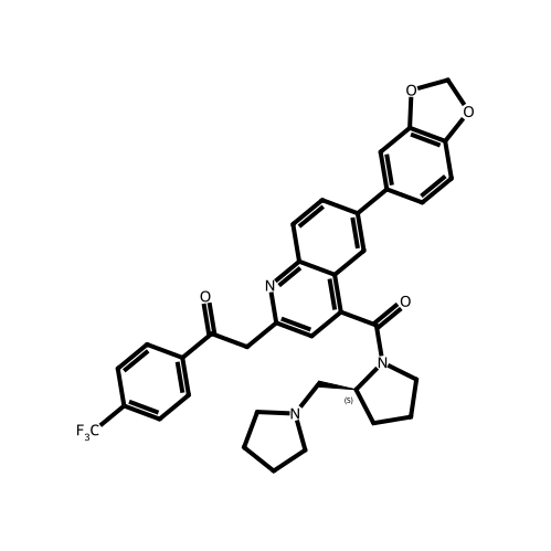 O=C(Cc1cc(C(=O)N2CCC[C@H]2CN2CCCC2)c2cc(-c3ccc4c(c3)OCO4)ccc2n1)c1ccc(C(F)(F)F)cc1